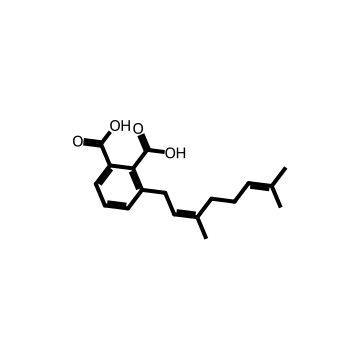 CC(C)=CCCC(C)=CCc1cccc(C(=O)O)c1C(=O)O